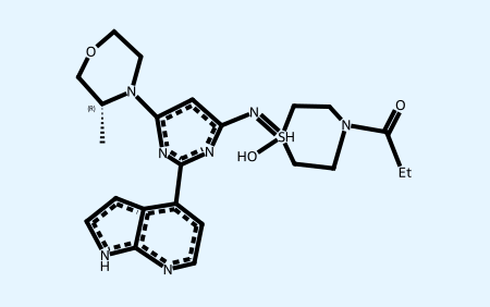 CCC(=O)N1CC[SH](O)(=Nc2cc(N3CCOC[C@H]3C)nc(-c3ccnc4[nH]ccc34)n2)CC1